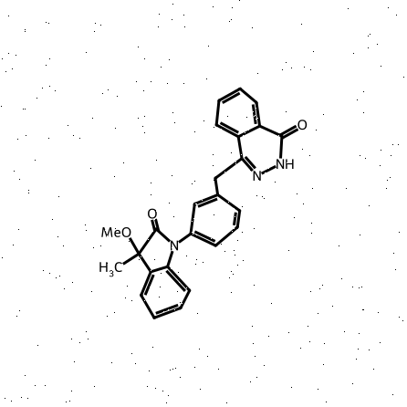 COC1(C)C(=O)N(c2cccc(Cc3n[nH]c(=O)c4ccccc34)c2)c2ccccc21